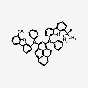 CCC(C)(C)c1cccc2c1oc1c(N(c3ccccc3)c3cc(N(c4ccccc4)c4cccc5c4oc4c(C(C)(C)C)cccc45)c4ccc5cccc6ccc3c4c56)cccc12